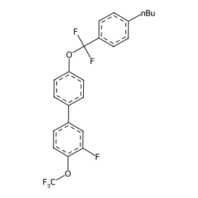 CCCCc1ccc(C(F)(F)Oc2ccc(-c3ccc(OC(F)(F)F)c(F)c3)cc2)cc1